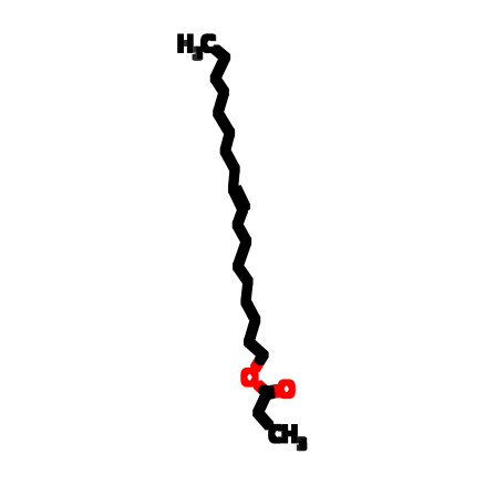 CCCCCCCCC=CCCCCCCCCOC(=O)CC